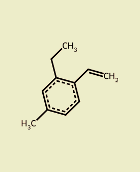 C=Cc1ccc(C)cc1CC